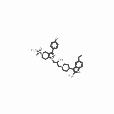 Cc1[nH]c2ccc(CI)cc2c1C1CCN(CC(O)Cn2nc(-c3ccc(Br)cc3)c3c2CCN(S(C)(=O)=O)C3)CC1